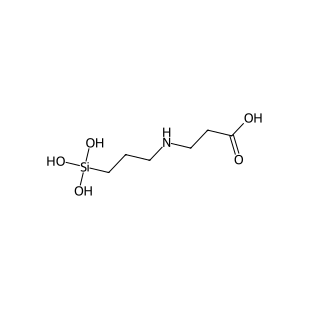 O=C(O)CCNCCC[Si](O)(O)O